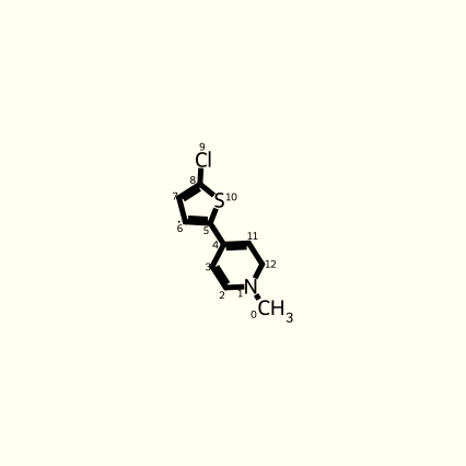 CN1C=CC(c2[c]cc(Cl)s2)=CC1